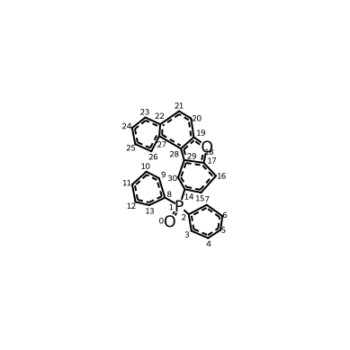 O=P(c1ccccc1)(c1ccccc1)c1ccc2oc3ccc4ccccc4c3c2c1